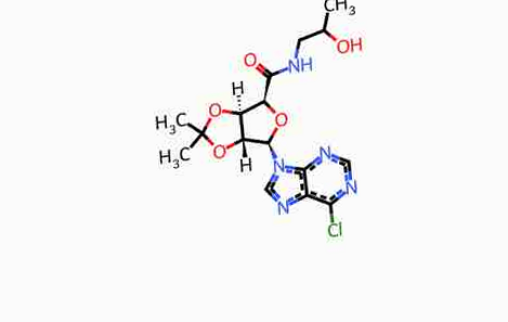 CC(O)CNC(=O)[C@H]1O[C@@H](n2cnc3c(Cl)ncnc32)[C@@H]2OC(C)(C)O[C@H]21